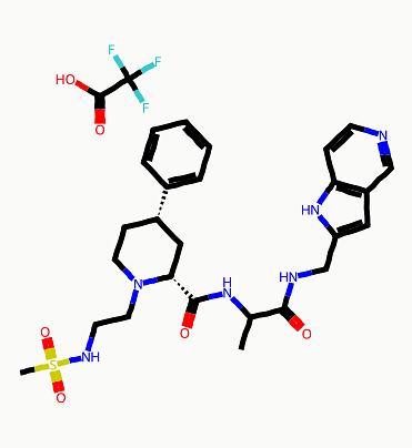 CC(NC(=O)[C@H]1C[C@@H](c2ccccc2)CCN1CCNS(C)(=O)=O)C(=O)NCc1cc2cnccc2[nH]1.O=C(O)C(F)(F)F